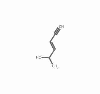 C#CC=CC(C)O